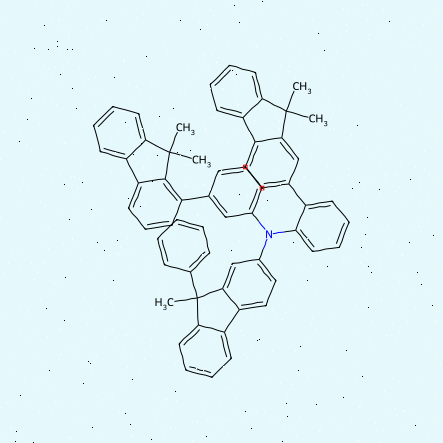 CC1(C)c2ccccc2-c2ccc(-c3ccccc3N(c3cccc(-c4cccc5c4C(C)(C)c4ccccc4-5)c3)c3ccc4c(c3)C(C)(c3ccccc3)c3ccccc3-4)cc21